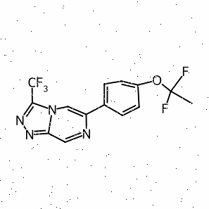 CC(F)(F)Oc1ccc(-c2cn3c(C(F)(F)F)nnc3cn2)cc1